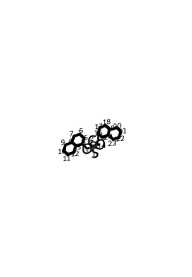 S=P(Cl)(Oc1cccc2ccccc12)Oc1cccc2ccccc12